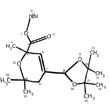 CCCCOC(=O)C1(C)C=C(C2OC(C)(C)C(C)(C)O2)CC(C)(C)O1